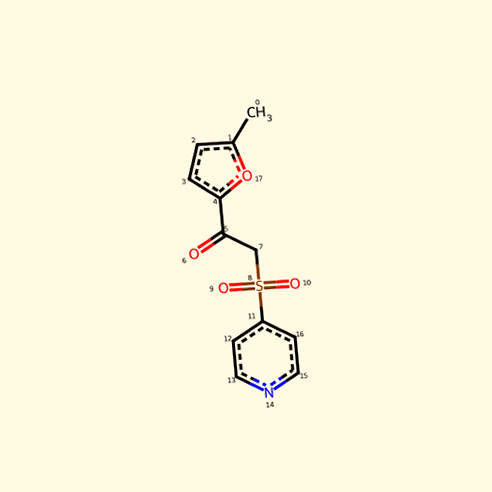 Cc1ccc(C(=O)CS(=O)(=O)c2ccncc2)o1